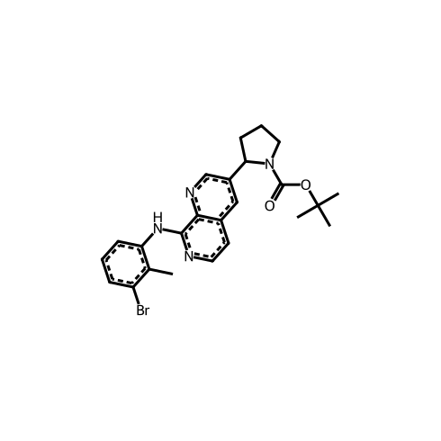 Cc1c(Br)cccc1Nc1nccc2cc(C3CCCN3C(=O)OC(C)(C)C)cnc12